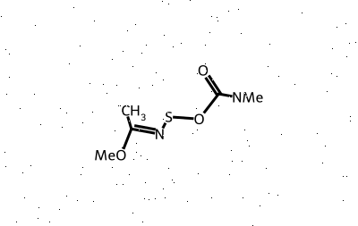 CNC(=O)OS/N=C(\C)OC